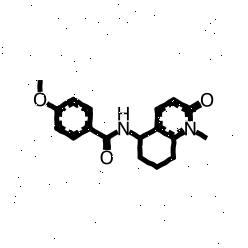 COc1ccc(C(=O)NC2CCCc3c2ccc(=O)n3C)cc1